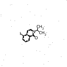 [CH2]C([CH2])n1ccc2c(I)cccc2c1=O